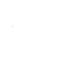 CCCCCCCCCCCCCCCCCC(=O)OC.O=S(=O)(O)O.O=S(=O)(O)O